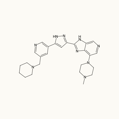 CN1CCN(c2cncc3[nH]c(-c4cc(-c5cncc(CN6CCCCC6)c5)[nH]n4)nc23)CC1